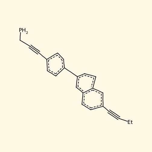 CCC#Cc1ccc2cc(-c3ccc(C#CCP)cc3)ccc2c1